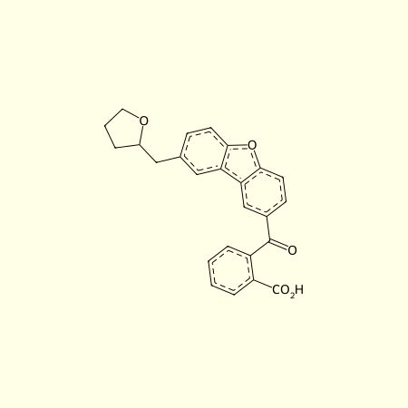 O=C(O)c1ccccc1C(=O)c1ccc2oc3ccc(CC4CCCO4)cc3c2c1